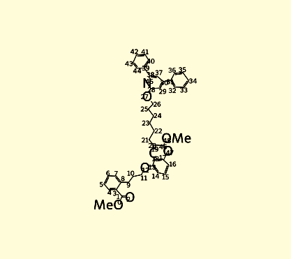 COC(=O)c1ccccc1CCCOc1ccccc1CC(CCCCCCOc1cc(-c2ccccc2)cc(-c2ccccc2)n1)C(=O)OC